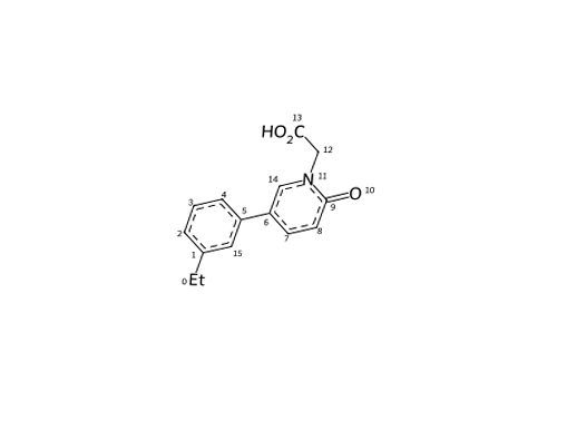 CCc1cccc(-c2ccc(=O)n(CC(=O)O)c2)c1